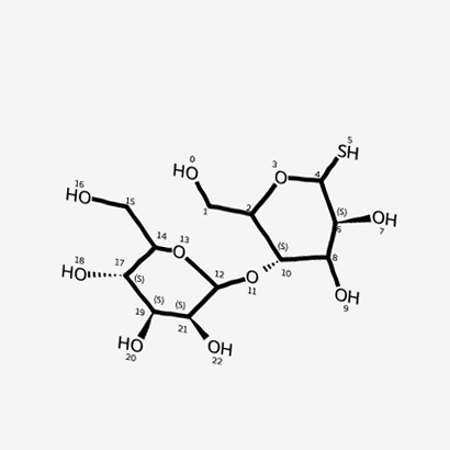 OCC1OC(S)[C@@H](O)C(O)[C@@H]1OC1OC(CO)[C@@H](O)[C@H](O)[C@@H]1O